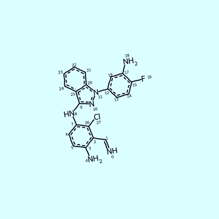 N=Cc1c(N)ccc(Nc2nn(-c3ccc(F)c(N)c3)c3ccccc23)c1Cl